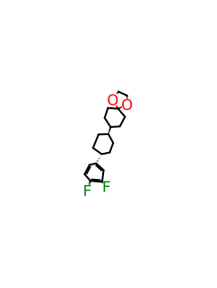 Fc1ccc([C@H]2CC[C@H](C3CCC4(CC3)OCCO4)CC2)cc1F